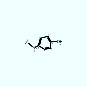 Oc1ccc(NBr)cc1